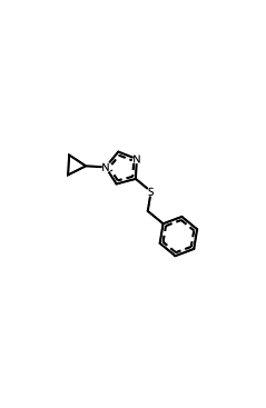 c1ccc(CSc2cn(C3CC3)cn2)cc1